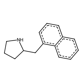 c1ccc2c(CC3CCCN3)cccc2c1